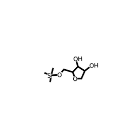 C[Si](C)(C)OCC1OCC(O)C1O